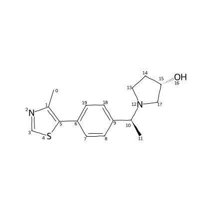 Cc1ncsc1-c1ccc([C@H](C)N2CC[C@H](O)C2)cc1